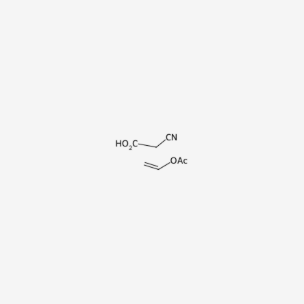 C=COC(C)=O.N#CCC(=O)O